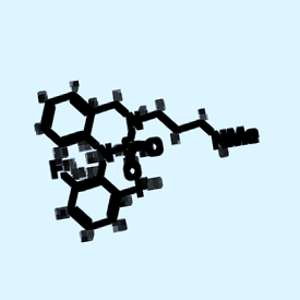 CNCCCN1Cc2ccccc2N(c2c(F)cccc2F)S1(=O)=O